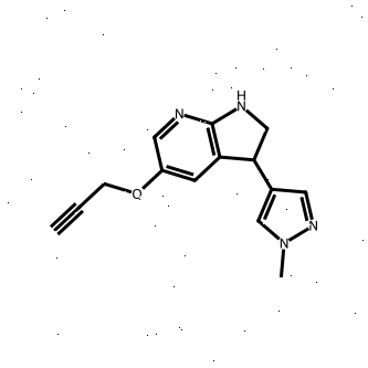 C#CCOc1cnc2c(c1)C(c1cnn(C)c1)CN2